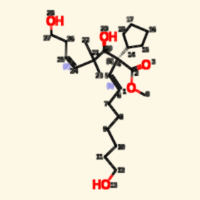 COC(=O)[C@](/C=C/CCCCCCO)(C1CCCC1)[C@H](O)C(C)(C)/C=C\CCO